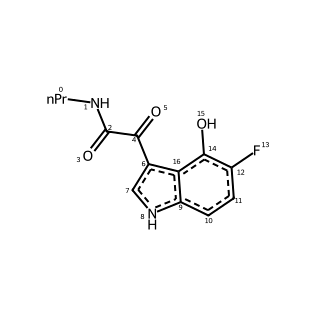 CCCNC(=O)C(=O)c1c[nH]c2ccc(F)c(O)c12